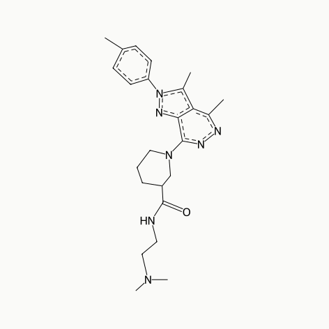 Cc1ccc(-n2nc3c(N4CCCC(C(=O)NCCN(C)C)C4)nnc(C)c3c2C)cc1